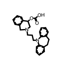 O=C(O)OC1CN(CCCN2c3ccccc3CCc3ccccc32)Cc2ccccc21